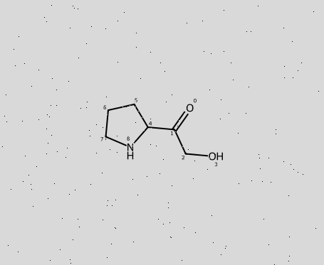 O=C(CO)C1CC[CH]N1